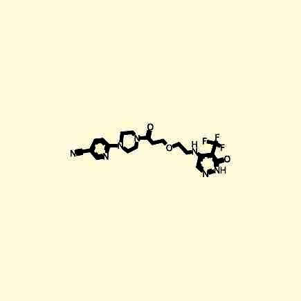 N#Cc1ccc(N2CCN(C(=O)CCOCCNc3cn[nH]c(=O)c3C(F)(F)F)CC2)nc1